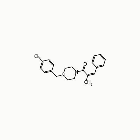 CC(=Cc1ccccc1)C(=O)N1CCN(Cc2ccc(Cl)cc2)CC1